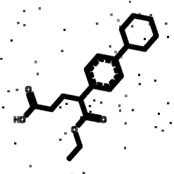 CCOC(=O)C(CCC(=O)O)c1ccc(C2CCCCC2)cc1